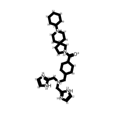 O=C(C1CCC(CN(Cc2ncc[nH]2)Cc2ncc[nH]2)CC1)N1CCC2(CCN(C3CCCCC3)CC2)C1